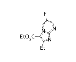 CCOC(=O)c1c(CC)nc2ncc(F)cn12